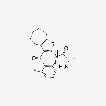 C[C@H](N)C(=O)Nc1sc2c(c1C(=O)c1c(F)cccc1F)CCCCC2